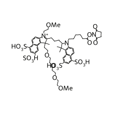 COCCOCCOCCOCCC1(C)C(CCCC2N(CCCCCC(=O)ON3C(=O)CCC3=O)c3ccc4c(S(=O)(=O)O)cc(S(=O)(=O)O)cc4c3C2(C)C)=[N+](CCOC)c2ccc3c(S(=O)(=O)O)cc(S(=O)(=O)O)cc3c21